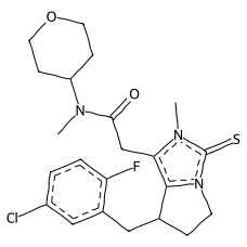 CN(C(=O)Cc1c2n(c(=S)n1C)CCC2Cc1cc(Cl)ccc1F)C1CCOCC1